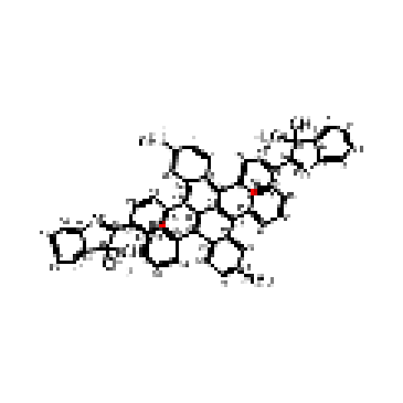 CCCCc1ccc2c(-c3ccc(C4=Nc5ccccc5C4(C)C)cc3)c3c(-c4ccccc4)c4cc(C(C)(C)C)ccc4c(-c4ccccc4)c3c(-c3ccc(C4=Nc5ccccc5C4(C)C)cc3)c2c1